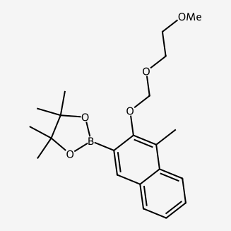 COCCOCOc1c(B2OC(C)(C)C(C)(C)O2)cc2ccccc2c1C